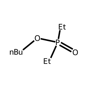 CCCCOP(=O)(CC)CC